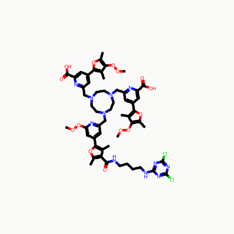 COOc1cc(-c2oc(C)c(C(=O)NCCCCNc3nc(Cl)nc(Cl)n3)c2C)cc(CN2CCN(Cc3cc(-c4oc(C)c(OOC)c4C)cc(C(=O)O)n3)CCN(Cc3cc(-c4oc(C)c(OOC)c4C)cc(C(=O)O)n3)CC2)n1